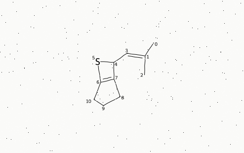 CC(C)=CC1SC2=C1CCC2